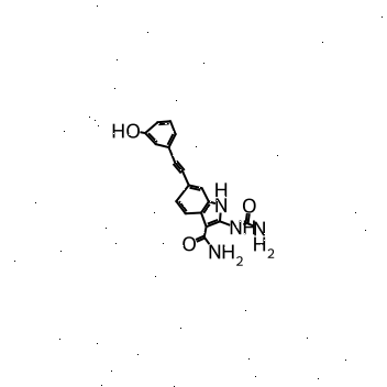 NC(=O)Nc1[nH]c2cc(C#Cc3cccc(O)c3)ccc2c1C(N)=O